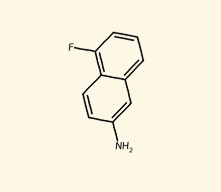 Nc1ccc2c(F)cccc2c1